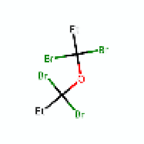 CCC(Br)(Br)OC(Br)(Br)CC